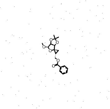 CO[C@@H]1O[C@]2(C[C@@H]2COC(=O)c2ccccc2)C2OC(C)(C)OC21